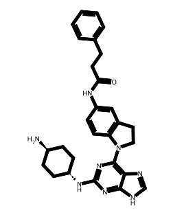 N[C@H]1CC[C@H](Nc2nc(N3CCc4cc(NC(=O)CCc5ccccc5)ccc43)c3nc[nH]c3n2)CC1